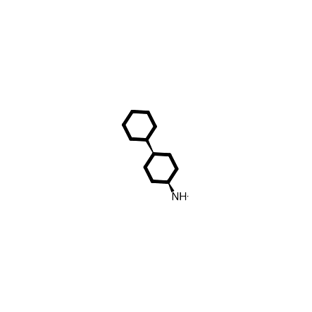 [NH][C@H]1CC[C@@H](C2CCCCC2)CC1